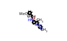 COc1cccc(C=CC(=O)Nc2ccc3nc(N4CCN(C)CC4)cc(C)c3c2)c1OC